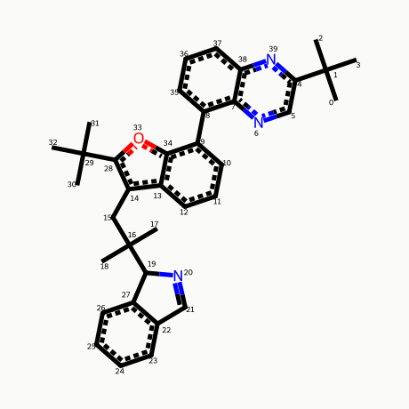 CC(C)(C)c1cnc2c(-c3cccc4c(CC(C)(C)C5N=Cc6ccccc65)c(C(C)(C)C)oc34)cccc2n1